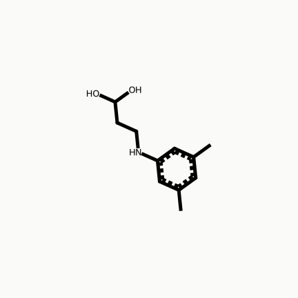 Cc1cc(C)cc(NCCC(O)O)c1